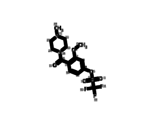 COc1cc(OS(=O)(=O)C(F)(F)F)ccc1C(=O)N1CCN(C)CC1